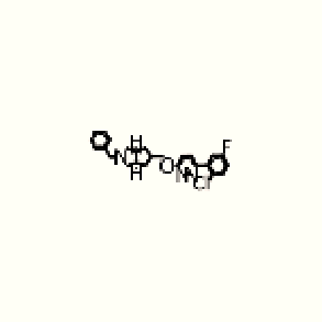 Fc1ccc(Cl)c(-c2ccc(OCC3C[C@@H]4CN(Cc5ccccc5)C[C@@H]4C3)nn2)c1